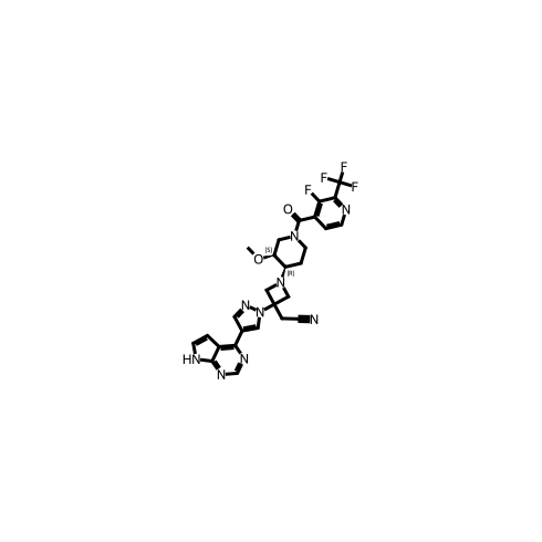 CO[C@H]1CN(C(=O)c2ccnc(C(F)(F)F)c2F)CC[C@H]1N1CC(CC#N)(n2cc(-c3ncnc4[nH]ccc34)cn2)C1